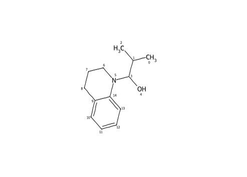 CC(C)C(O)N1CCCc2ccccc21